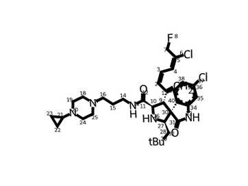 C=C(/C=C\C=C(\Cl)CF)[C@H]1[C@H](C(=O)NCCCN2CCN(C3CC3)CC2)N[C@H](CC(C)(C)C)[C@]12C(=O)Nc1cc(Cl)ccc12